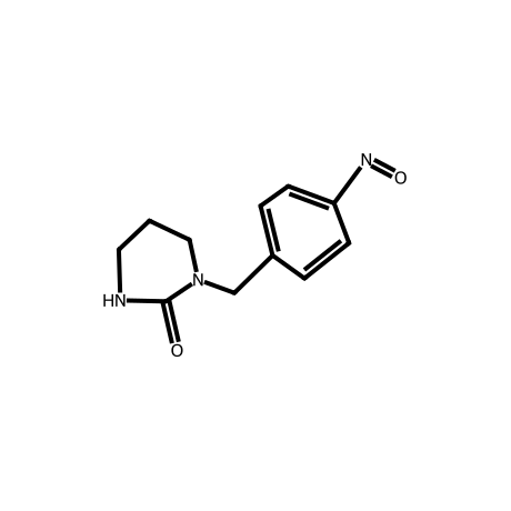 O=Nc1ccc(CN2CCCNC2=O)cc1